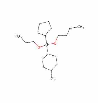 CCCCO[Si](OCCC)(C1CCCC1)C1CCC(C)CC1